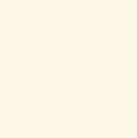 CCN(CCC(=O)OCC(C)=O)c1cc(NC(C)=O)ccc1OC